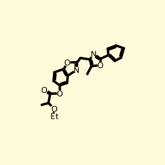 CCOC(C)C(=O)Oc1ccc2oc(Cc3nc(-c4ccccc4)oc3C)nc2c1